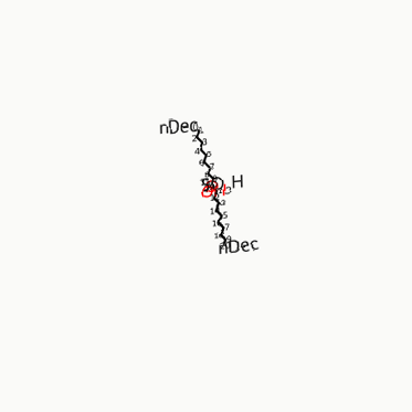 CCCCCCCCCCCCCCCCCCCOCCCCCCCCCCCCCCCCCCC.O=S(=O)(O)O